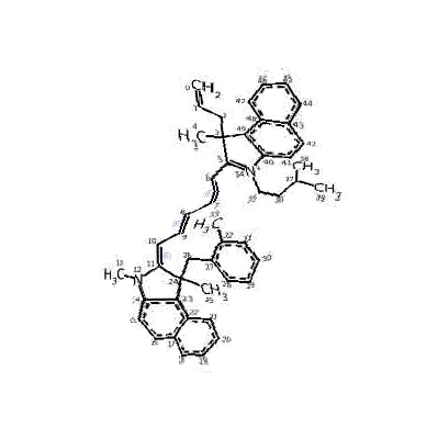 C=CCC1(C)C(/C=C/C=C/C=C2/N(C)c3ccc4ccccc4c3C2(C)Cc2ccccc2C)=[N+](CCC(C)C)c2ccc3ccccc3c21